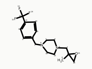 CC1(CN2CCN(Cc3ccc(C(F)(F)F)cc3)CC2)CO1